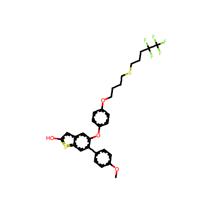 COc1ccc(-c2cc3sc(O)cc3cc2Oc2ccc(OCCCCSCCCC(F)(F)C(F)(F)F)cc2)cc1